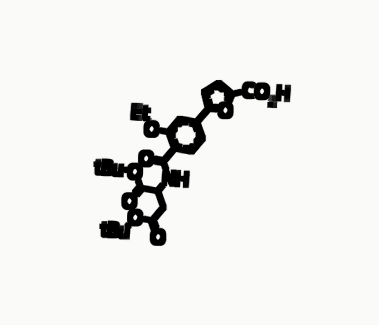 CCOc1cc(-c2ccc(C(=O)O)o2)ccc1C(=O)NC(CC(=O)OC(C)(C)C)C(=O)OC(C)(C)C